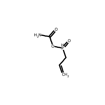 C=CC[PH](=O)OC(N)=O